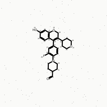 O=CC1CCN(c2ccc(C3=C(C4CCOCC4)COc4cc(O)ccc43)cc2F)CC1